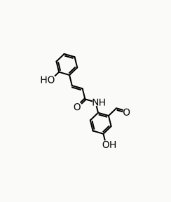 O=Cc1cc(O)ccc1NC(=O)/C=C/c1ccccc1O